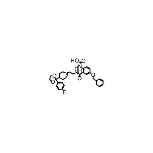 O=C(O)Nc1ccc(OCc2ccccc2)cc1C(=O)NCCN1CCC(C2(c3ccc(F)cc3)OCCO2)CC1